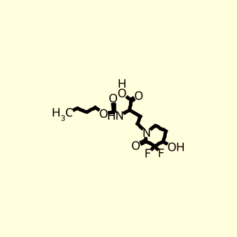 CCCCOC(=O)NC(CCN1CCC(O)C(F)(F)C1=O)C(=O)O